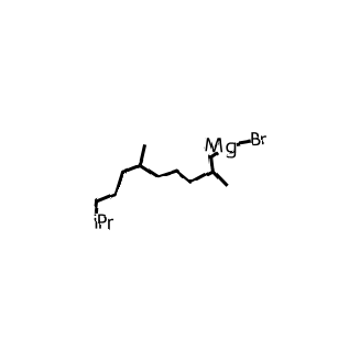 CC(C)CCCC(C)CCCC(C)[CH2][Mg][Br]